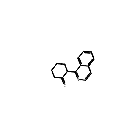 O=C1CCCCC1c1nccc2ccccc12